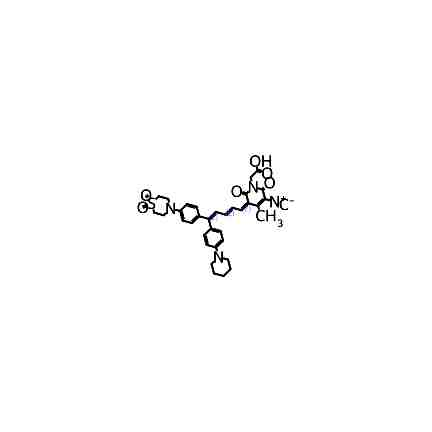 [C-]#[N+]C1=C(C)/C(=C/C=C/C=C(\c2ccc(N3CCCCC3)cc2)c2ccc(N3CCS(=O)(=O)CC3)cc2)C(=O)N(CC(=O)O)C1=O